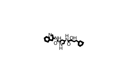 O=C(NC1CN[C@H](C(=O)Nc2cnc3ccccc3c2)C1)[C@H](O)CCc1ccccc1